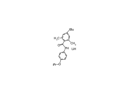 Cc1cc(C(C)(C)C)cc(C)c1C(=O)Pc1ccc(OC(C)C)cc1.[LiH]